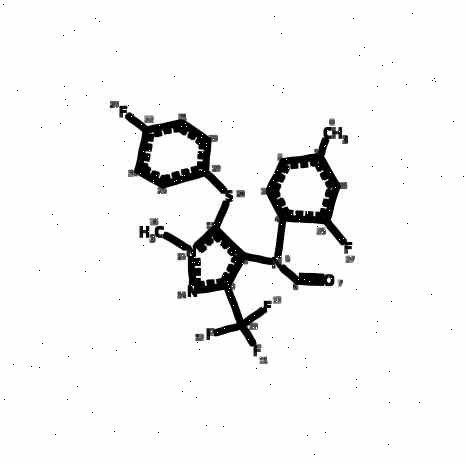 Cc1ccc(N(C=O)c2c(C(F)(F)F)nn(C)c2Sc2ccc(F)cc2)c(F)c1